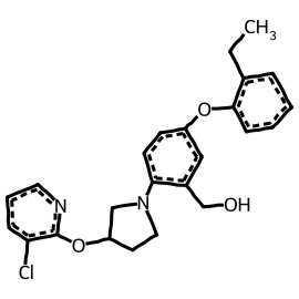 CCc1ccccc1Oc1ccc(N2CCC(Oc3ncccc3Cl)C2)c(CO)c1